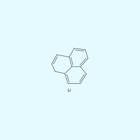 C1=Cc2cccc3cccc(c23)C1.[Li]